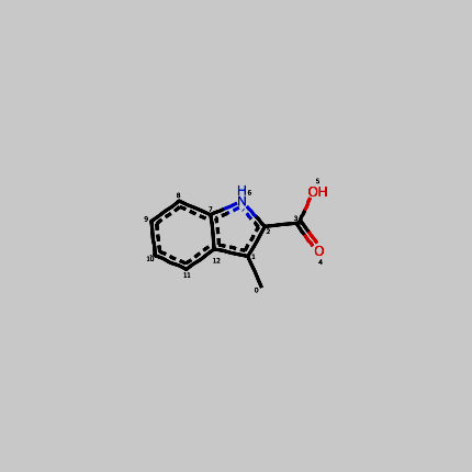 Cc1c(C(=O)O)[nH]c2cc[c]cc12